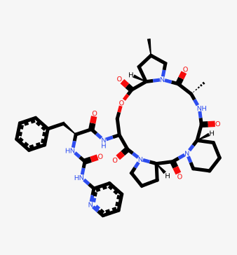 C[C@@H]1C[C@H]2C(=O)OCC(NC(=O)[C@H](Cc3ccccc3)NC(=O)Nc3ccccn3)C(=O)N3CCC[C@H]3C(=O)N3CCCC[C@H]3C(=O)N[C@@H](C)C(=O)N2C1